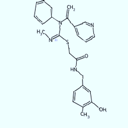 C=C(c1cccnc1)N(/C(=N\C)SCC(=O)NCc1ccc(C)c(O)c1)c1ccccc1